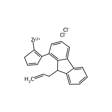 C=CCC1c2ccccc2-c2cccc(C3=[C]([Zr+2])CC=C3)c21.[Cl-].[Cl-]